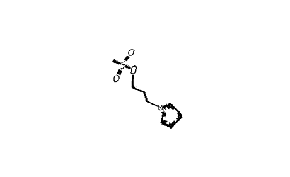 CS(=O)(=O)OCCCn1cccc1